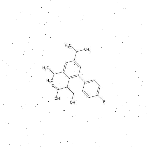 CC(C)c1cc(-c2ccc(F)cc2)c(C(CO)C(=O)O)c(C(C)C)c1